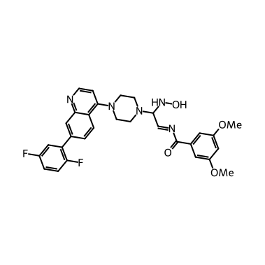 COc1cc(OC)cc(C(=O)N=CC(NO)N2CCN(c3ccnc4cc(-c5cc(F)ccc5F)ccc34)CC2)c1